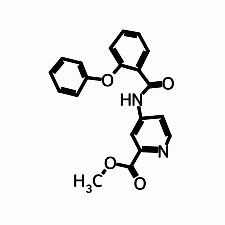 COC(=O)c1cc(NC(=O)c2ccccc2Oc2ccccc2)ccn1